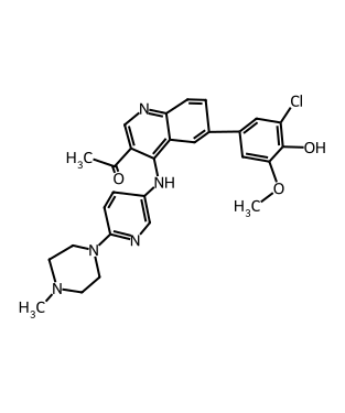 COc1cc(-c2ccc3ncc(C(C)=O)c(Nc4ccc(N5CCN(C)CC5)nc4)c3c2)cc(Cl)c1O